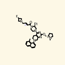 CC[C@H]1CN(c2nc(OC[C@@H]3CCCN3C)nc3c2CCN(c2cccc4cccc(C)c24)C3)CCN1C(=O)/C=C/CN1CC(F)C1